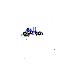 CN(C)C1Cc2ccc(Nc3ncc4c(=O)n(-c5c(Cl)cc(F)cc5Cl)c5nccn5c4n3)cc2C1